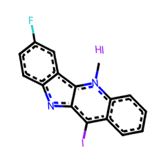 Cn1c2c3cc(F)ccc3nc-2c(I)c2ccccc21.I